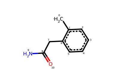 [CH2]c1ccccc1CC(N)=O